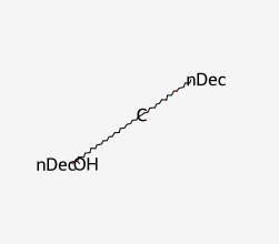 CCCCCCCCCCCCCCCCCCCCCCCCCCCCCCCCCCCCCCCCCCCCCCCCC(O)CCCCCCCCCCC